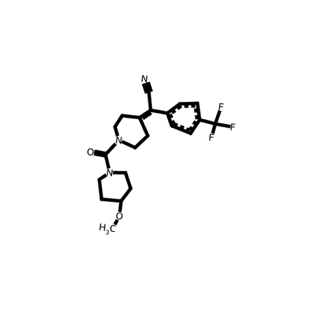 COC1CCN(C(=O)N2CCC(=C(C#N)c3ccc(C(F)(F)F)cc3)CC2)CC1